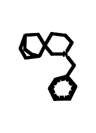 c1ccc(CN2CCCC3(CC4CCC3CC4)C2)cc1